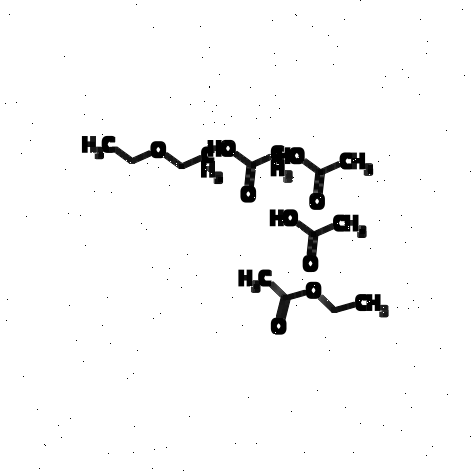 CC(=O)O.CC(=O)O.CC(=O)O.CCOC(C)=O.CCOCC